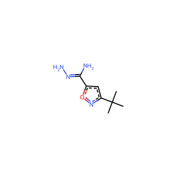 CC(C)(C)c1cc(C(N)=NN)on1